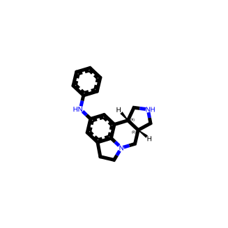 c1ccc(Nc2cc3c4c(c2)[C@@H]2CNC[C@@H]2CN4CC3)cc1